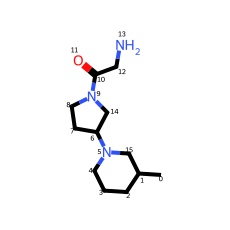 CC1CCCN(C2CCN(C(=O)CN)C2)C1